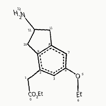 CCOC(=O)Cc1cc(OCC)cc2c1CC(N)C2